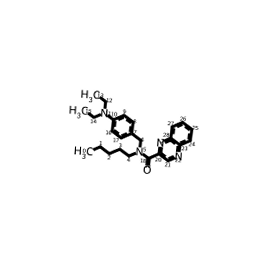 CCCCCN(Cc1ccc(N(CC)CC)cc1)C(=O)c1cnc2ccccc2n1